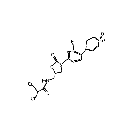 O=C(NC[C@H]1CN(c2ccc(C3C=CS(=O)(=O)CC3)c(F)c2)C(=O)O1)C(Cl)Cl